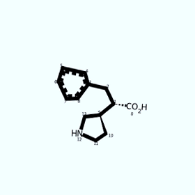 O=C(O)[C@@H](Cc1ccccc1)[C@H]1CCNC1